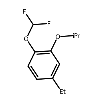 CCc1ccc(OC(F)F)c(OC(C)C)c1